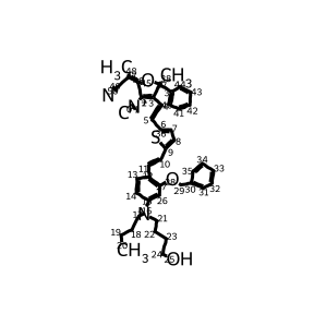 [C-]#[N+]C1=C(/C=C/c2ccc(/C=C/c3ccc(N(CCCC)CCCCO)cc3OCc3ccccc3)s2)C(C)(c2ccccc2)O/C1=C(\C)C#N